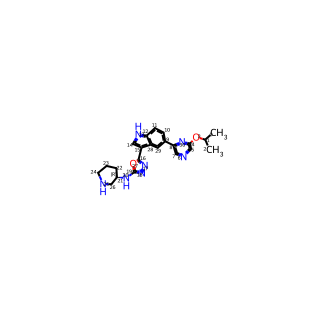 CC(C)Oc1cncc(-c2ccc3[nH]cc(-c4nnc(N[C@@H]5CCCNC5)o4)c3c2)n1